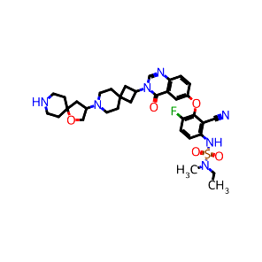 CCN(C)S(=O)(=O)Nc1ccc(F)c(Oc2ccc3ncn(C4CC5(CCN(C6COC7(CCNCC7)C6)CC5)C4)c(=O)c3c2)c1C#N